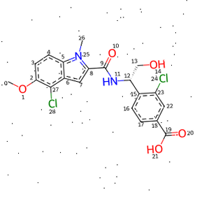 COc1ccc2c(cc(C(=O)N[C@H](CO)c3ccc(C(=O)O)cc3Cl)n2C)c1Cl